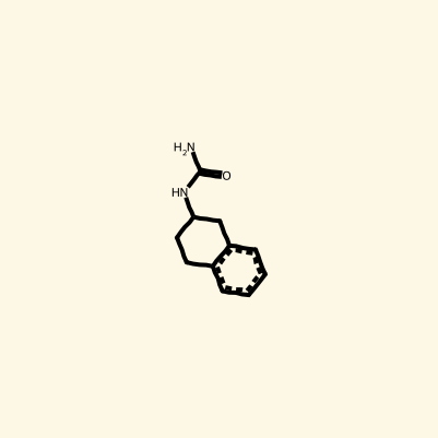 NC(=O)NC1CCc2ccccc2C1